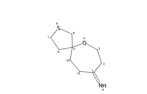 N=C1CCOC2(CCSC2)CC1